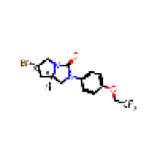 O=C1N(c2ccc(OCC(F)(F)F)cc2)C[C@H]2C[C@@H](Br)CN12